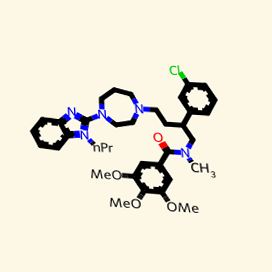 CCCn1c(N2CCCN(CCC(CN(C)C(=O)c3cc(OC)c(OC)c(OC)c3)c3cccc(Cl)c3)CC2)nc2ccccc21